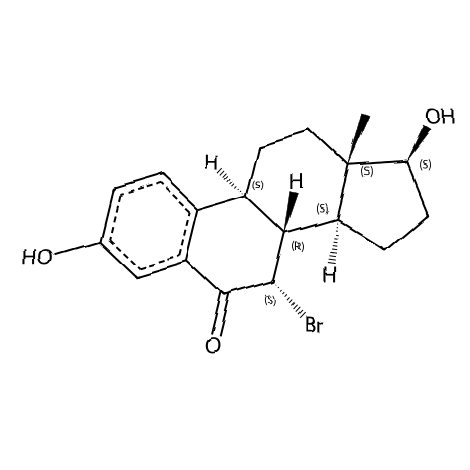 C[C@]12CC[C@@H]3c4ccc(O)cc4C(=O)[C@@H](Br)[C@H]3[C@@H]1CC[C@@H]2O